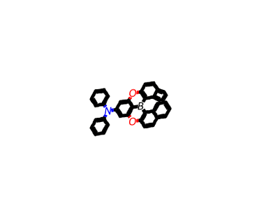 c1ccc(N(c2ccccc2)c2cc3c4c(c2)Oc2ccc5ccccc5c2B4c2c(ccc4ccccc24)O3)cc1